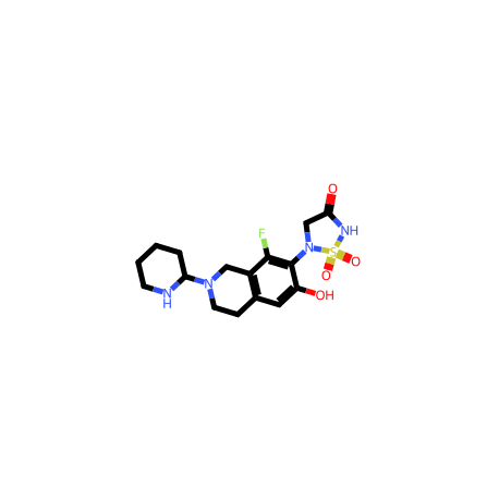 O=C1CN(c2c(O)cc3c(c2F)CN(C2CCCCN2)CC3)S(=O)(=O)N1